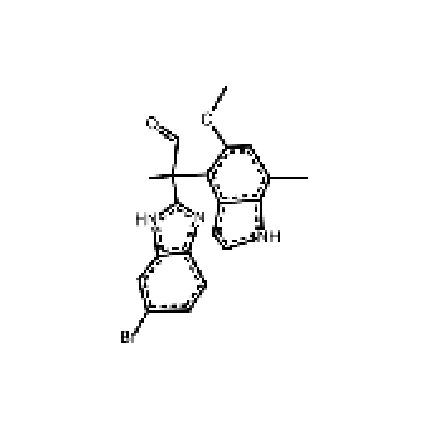 COc1cc(C)c2[nH]ccc2c1C(C)(C=O)c1nc2ccc(Br)cc2[nH]1